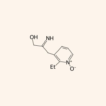 CCc1c(CC(=N)CO)ccc[n+]1[O-]